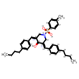 CCCCc1ccc(/C=C2/CN(S(=O)(=O)c3ccc(C)cc3)C/C(=C\c3ccc(CCCC)cc3)C2=O)cc1